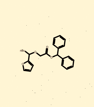 CCCCC(OCC(=O)OC(c1ccccc1)c1ccccc1)c1ccco1